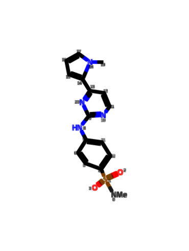 CNS(=O)(=O)c1ccc(Nc2nccc(-c3cccn3C)n2)cc1